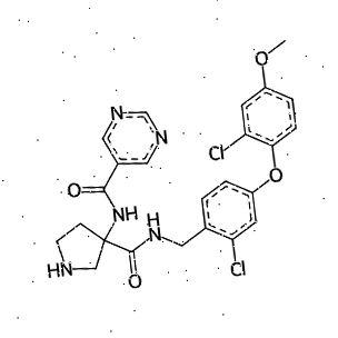 COc1ccc(Oc2ccc(CNC(=O)C3(NC(=O)c4cncnc4)CCNC3)c(Cl)c2)c(Cl)c1